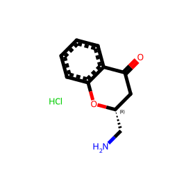 Cl.NC[C@H]1CC(=O)c2ccccc2O1